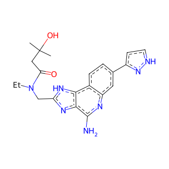 CCN(Cc1nc2c(N)nc3cc(-c4cc[nH]n4)ccc3c2[nH]1)C(=O)CC(C)(C)O